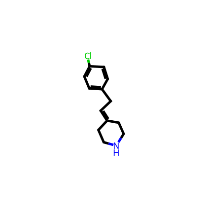 Clc1ccc(CC=C2CCNCC2)cc1